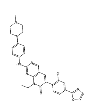 CCn1c(=O)c(-c2ccc(-c3nnco3)cc2Cl)cc2cnc(Nc3ccc(N4CCN(C)CC4)cc3)nc21